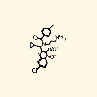 CCCCc1c(C(C2CC2)N(CCCN)C(=O)c2ccc(C)cc2)nc2cc(Cl)ccc2[n+]1[O-]